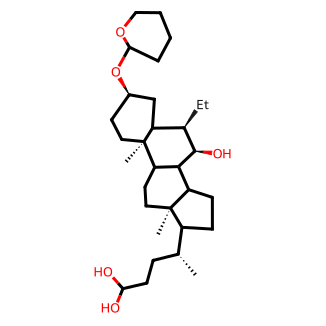 CC[C@@H]1C2C[C@H](OC3CCCCO3)CC[C@]2(C)C2CC[C@@]3(C)C(CCC3[C@H](C)CCC(O)O)C2[C@@H]1O